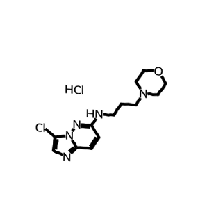 Cl.Clc1cnc2ccc(NCCCN3CCOCC3)nn12